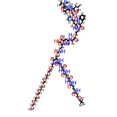 CC[C@H](C)[C@@H]([C@@H](CC(=O)N1CCC[C@H]1[C@H](OC)[C@@H](C)C(=O)N[C@@H](Cc1ccccc1)C(=O)NCCCOC(=O)C(C)NC(=O)CC(NC(=O)CCNC(=O)OCC(NC(=O)CNC(=O)CNC(=O)CNC(=O)CNC(=O)CCNC(=O)CCOCC(C)(C)C)C(=O)NCCOCCOCCOCCOCCOCCOCCOCCOC)C(=O)O)OC)N(C)C(=O)C(NC(=O)[C@H](C(C)C)N(C)C)C(C)C